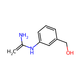 C=C(N)Nc1cccc(CO)c1